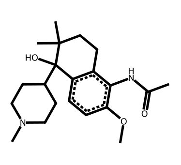 COc1ccc2c(c1NC(C)=O)CCC(C)(C)C2(O)C1CCN(C)CC1